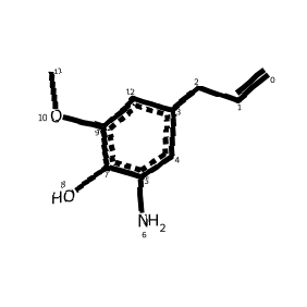 C=CCc1cc(N)c(O)c(OC)c1